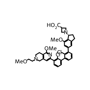 COCCN1CCc2c(cc(-c3cccc(-c4cccc(-c5cc6c(c(OC)c5)[C@H](N5CC(C(=O)O)C5)CC6)c4Cl)c3Cl)nc2OC)C1